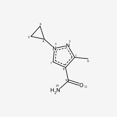 Cc1nn(C2CC2)cc1C(N)=O